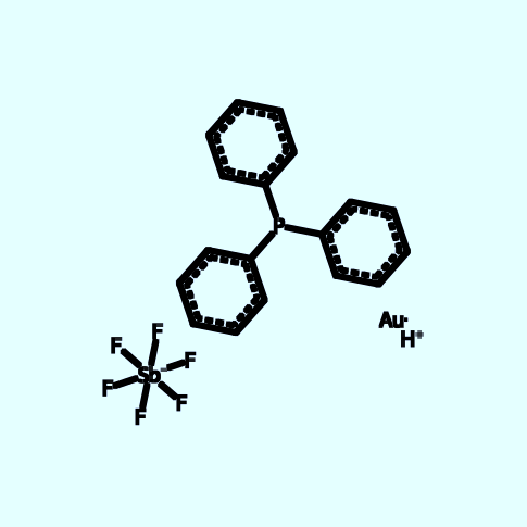 [Au].[F][Sb-]([F])([F])([F])([F])[F].[H+].c1ccc(P(c2ccccc2)c2ccccc2)cc1